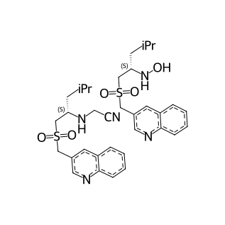 CC(C)C[C@@H](CS(=O)(=O)Cc1cnc2ccccc2c1)NCC#N.CC(C)C[C@@H](CS(=O)(=O)Cc1cnc2ccccc2c1)NO